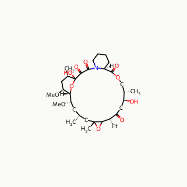 CC[C@H]1C(=O)C[C@H](O)[C@@H](C)COC(=O)[C@@H]2CCCCN2C(=O)C(=O)[C@]2(O)O[C@H]([C@@H](OC)C[C@@H](C)CC3(C)OC13)[C@@H](OC)C[C@H]2C